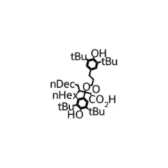 CCCCCCCCCCCC(CCCCCC)C(CC(=O)O)(OC(=O)CCc1cc(C(C)(C)C)c(O)c(C(C)(C)C)c1)c1cc(C(C)(C)C)c(O)c(C(C)(C)C)c1